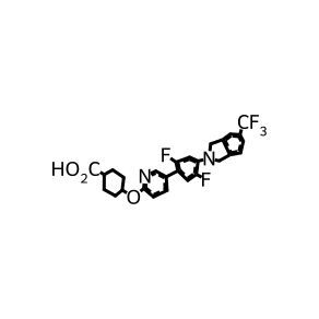 O=C(O)C1CCC(Oc2ccc(-c3cc(F)c(N4Cc5ccc(C(F)(F)F)cc5C4)cc3F)cn2)CC1